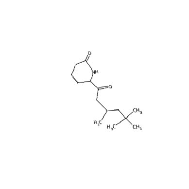 CC(CC(=O)C1CCCC(=O)N1)CC(C)(C)C